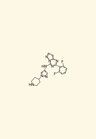 Fc1cccc(F)c1-c1nc(Nc2cnn(C3CCNCC3)c2)n2nccc2n1